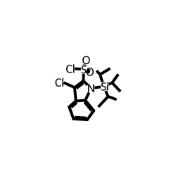 CC(C)[Si](C(C)C)(C(C)C)n1c(S(=O)(=O)Cl)c(Cl)c2ccccc21